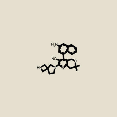 CC1(C)Cc2nc(N3CCC4(CNC4)C3)c(C#N)c(-c3cc(N)cc4ccccc34)c2CO1